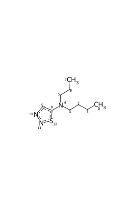 CCCCN(CCC)c1[c]nns1